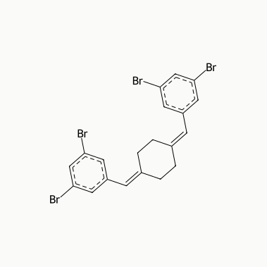 Brc1cc(Br)cc(C=C2CCC(=Cc3cc(Br)cc(Br)c3)CC2)c1